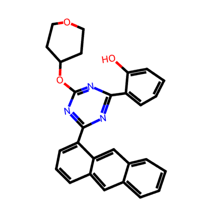 Oc1ccccc1-c1nc(OC2CCOCC2)nc(-c2cccc3cc4ccccc4cc23)n1